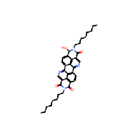 CCCCCCCCN1C(=O)c2ccc3c4ncc5c6c(ccc(c7ncc(c2c37)C1=O)c64)C(O)N(CCCCCCCC)C5=O